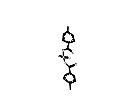 Cc1ccc(C(=O)OS(=O)(=O)OC(=O)c2ccc(C)cc2)cc1